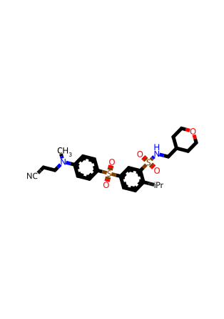 CC(C)c1ccc(S(=O)(=O)c2ccc(N(C)CCC#N)cc2)cc1S(=O)(=O)NCC1CCOCC1